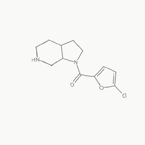 O=C(c1ccc(Cl)o1)N1CCC2CCNCC21